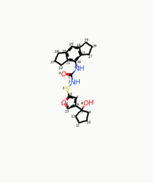 O=C(NSc1cc(C2(O)CCCC2)co1)Nc1c2c(cc3c1CCC3)CCC2